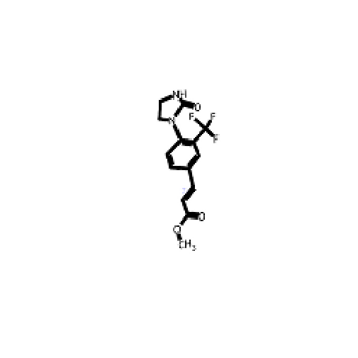 COC(=O)/C=C/c1ccc(N2CCNC2=O)c(C(F)(F)F)c1